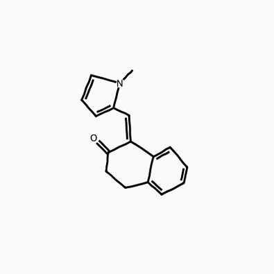 Cn1cccc1C=C1C(=O)CCc2ccccc21